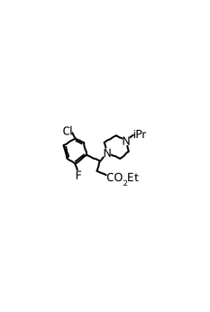 CCOC(=O)CC(c1cc(Cl)ccc1F)N1CCN(C(C)C)CC1